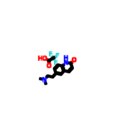 CN(C)CCc1ccc2[nH]c(=O)ccc2c1.O=C(O)C(F)(F)F